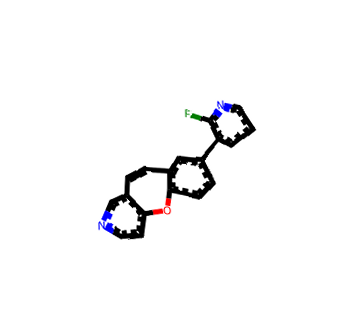 Fc1ncccc1-c1ccc2c(c1)C=Cc1cnccc1O2